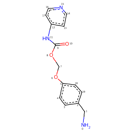 NCc1ccc(OCOC(=O)Nc2ccncc2)cc1